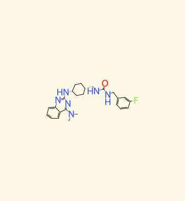 CN(C)c1nc(N[C@H]2CC[C@@H](CNC(=O)NCc3cccc(F)c3)CC2)nc2ccccc12